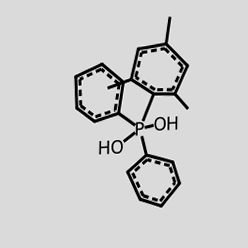 Cc1cc(C)c(P(O)(O)(c2ccccc2)c2ccccc2)c(C)c1